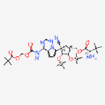 CC(C)(C)C(=O)OCOC(=O)Nc1ncnn2c([C@]3(C#N)C[C@H](COC(=O)[C@@H](N)C(C)(C)C)C(O[Si](C)(C)C)C3O[Si](C)(C)C)ccc12